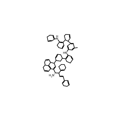 Cc1cc(NC2=C(C3CC=CC(C4C=C([C@@H](N)C(/C=C/C5=CCCC=C5)C5=CCCCC5)C5=C6C(CC=C5)CC=CC64)C3)CCC=C2)cc(C2C=CCCC2C2=C(NC3=CCCC=C3)CCC=C2)c1